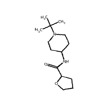 CC(C)(C)N1CCC(NC(=O)C2CCCO2)CC1